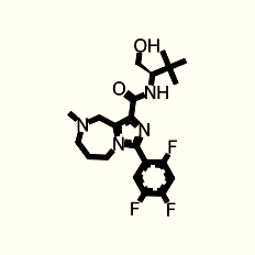 CN1CCCn2c(-c3cc(F)c(F)cc3F)nc(C(=O)N[C@@H](CO)C(C)(C)C)c2C1